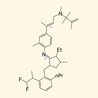 C=C(C)C(C)(C)N(C)C/C=C(\C)c1ccc(/N=C2/C(Cc3c(CCC)cccc3C(C)C(F)F)CC(C)C2CC)c(C)c1